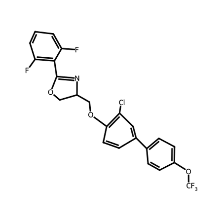 Fc1cccc(F)c1C1=NC(COc2ccc(-c3ccc(OC(F)(F)F)cc3)cc2Cl)CO1